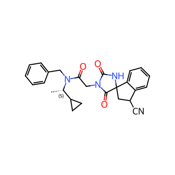 C[C@@H](C1CC1)N(Cc1ccccc1)C(=O)CN1C(=O)NC2(CC(C#N)c3ccccc32)C1=O